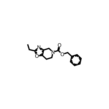 CCc1nc2c(o1)CCN(C(=O)OCc1ccccc1)C2